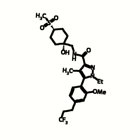 CCn1nc(C(=O)NC[C@]2(O)CC[C@@H](S(C)(=O)=O)CC2)c(C)c1-c1ccc(CCC(F)(F)F)cc1OC